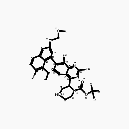 CCc1c(F)ccc2cc(OCOC)cc(-c3c(F)cc4c(C5CNCCN5C(=O)OC(C)(C)C)nc(F)nc4c3F)c12